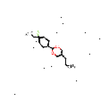 CCCC1COC(C2CCC(F)(CC)CC2)OC1